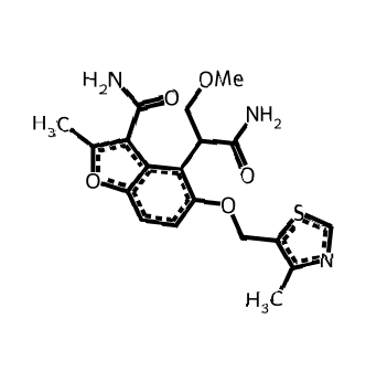 COCC(C(N)=O)c1c(OCc2scnc2C)ccc2oc(C)c(C(N)=O)c12